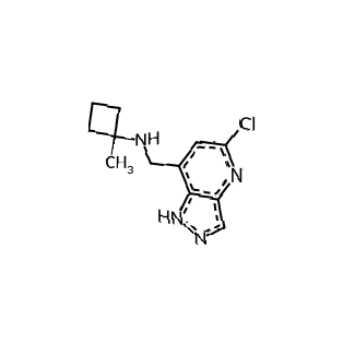 CC1(NCc2cc(Cl)nc3cn[nH]c23)CCC1